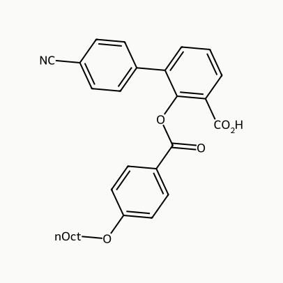 CCCCCCCCOc1ccc(C(=O)Oc2c(C(=O)O)cccc2-c2ccc(C#N)cc2)cc1